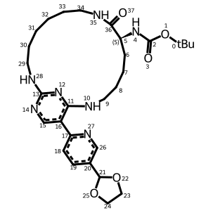 CC(C)(C)OC(=O)N[C@H]1CCCCNc2nc(ncc2-c2ccc(C3OCCO3)cn2)NCCCCCCNC1=O